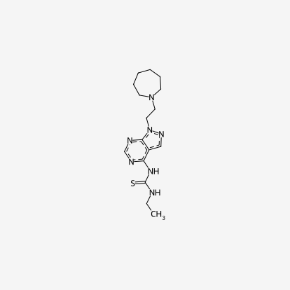 CCNC(=S)Nc1ncnc2c1cnn2CCN1CCCCCC1